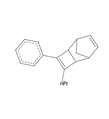 CCCC1=C(c2ccccc2)C2C3C=CC(C3)C12